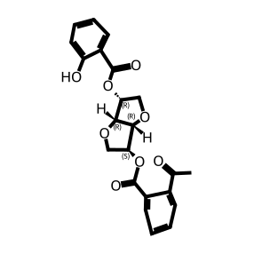 CC(=O)c1ccccc1C(=O)O[C@H]1CO[C@H]2[C@@H]1OC[C@H]2OC(=O)c1ccccc1O